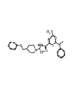 CN(c1ccccc1)c1nc(N)nc(C2=NOC(N3CCC(CSc4ccccc4)CC3)N2)n1